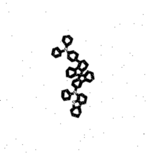 c1ccc(N(c2ccccc2)c2ccc(-c3cccc4c3-c3ccccc3C43c4ccccc4-c4cc(N(c5ccccc5)c5cccc6c5sc5ccccc56)ccc43)cc2)cc1